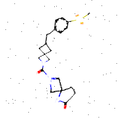 CS(=O)(=O)c1ccc(CC2CC3(C2)CN(C(=O)N2CC4(CCC(=O)N4)C2)C3)cc1